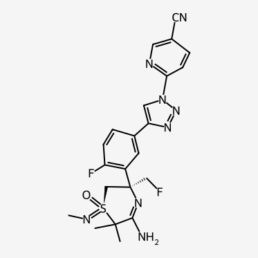 CN=[S@@]1(=O)C[C@@](CF)(c2cc(-c3cn(-c4ccc(C#N)cn4)nn3)ccc2F)N=C(N)C1(C)C